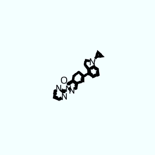 O=c1c2c(cnn1-c1ncccn1)C=C(c1cccc3c1CCN3C1CC1)CC2